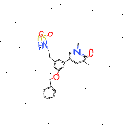 Cc1cc(-c2cc(CCN[SH](=O)=O)cc(OCc3ccccc3)c2)cn(C)c1=O